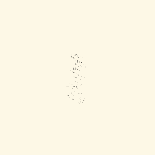 COc1ccc(CN(c2ccc([N+](=O)[O-])cc2[N+](=O)[O-])C(O)C(=O)NC(C(=O)NC(NC(=N)N)C(=O)NC(NC(=N)N)C(=O)NC(NC(=N)N)C(=O)NC(NC(=N)N)C(N)=O)c2ccccc2)c(OC)c1